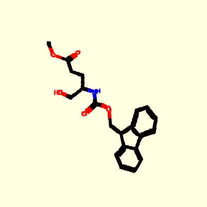 COC(=O)CCC(CO)NC(=O)OCC1c2ccccc2-c2ccccc21